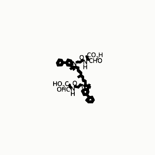 CC(/C=C/C=C1/N(CCC(=O)NC(C=O)CC(=O)O)c2ccc(-c3ccccc3)cc2C1(C)C)=C\C=C\C1=[N+](CCC(=O)NC(C=O)CC(=O)O)c2ccc(-c3ccccc3)cc2C1(C)C